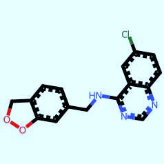 Clc1ccc2ncnc(NCc3ccc4c(c3)OOC4)c2c1